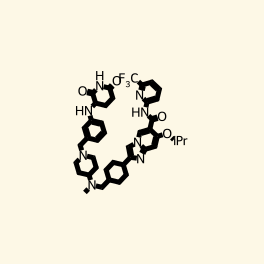 CC(C)Oc1cc2nc(C3CCC(CN(C)C4CCN(Cc5cccc(NC6CCC(=O)NC6=O)c5)CC4)CC3)cn2cc1C(=O)Nc1cccc(C(F)(F)F)n1